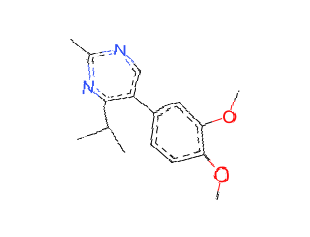 COc1ccc(-c2cnc(C)nc2C(C)C)cc1OC